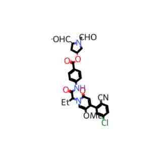 CCC(C(=O)Nc1ccc(C(=O)O[C@@H]2C[C@H]([C]=O)N([C]=O)C2)cc1)n1cc(OC)c(-c2cc(Cl)ccc2C#N)cc1=O